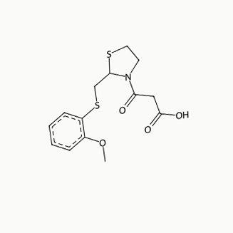 COc1ccccc1SCC1SCCN1C(=O)CC(=O)O